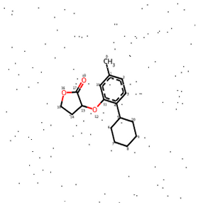 Cc1ccc(C2CCCCC2)c(OC2CCOC2=O)c1